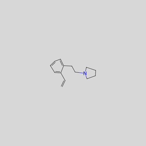 C=Cc1ccccc1CCN1CCCC1